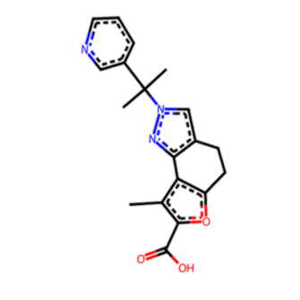 Cc1c(C(=O)O)oc2c1-c1nn(C(C)(C)c3cccnc3)cc1CC2